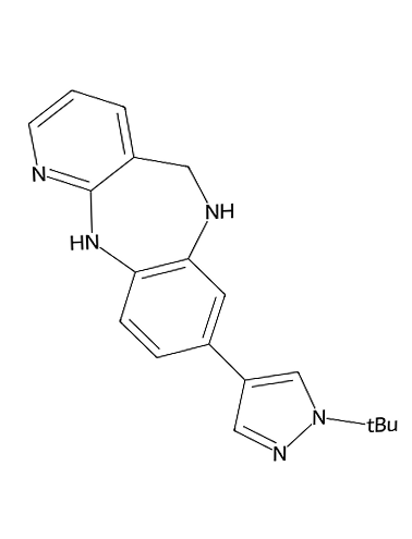 CC(C)(C)n1cc(-c2ccc3c(c2)NCc2cccnc2N3)cn1